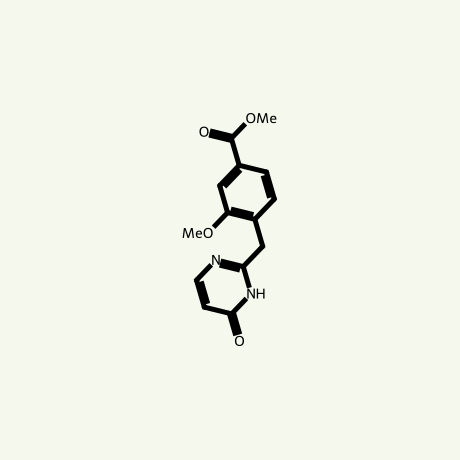 COC(=O)c1ccc(Cc2nccc(=O)[nH]2)c(OC)c1